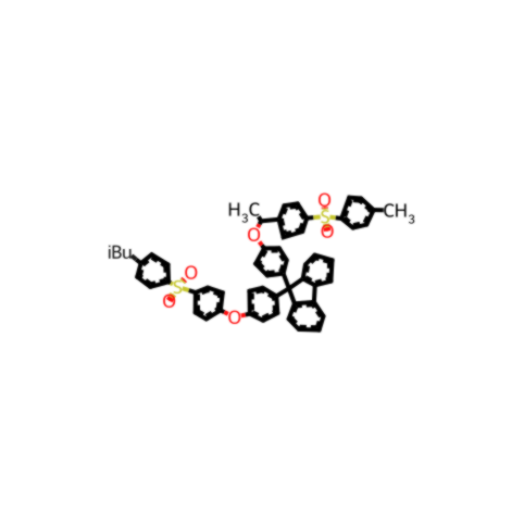 CCC(C)c1ccc(S(=O)(=O)c2ccc(Oc3ccc(C4(c5ccc(OC(C)c6ccc(S(=O)(=O)c7ccc(C)cc7)cc6)cc5)c5ccccc5-c5ccccc54)cc3)cc2)cc1